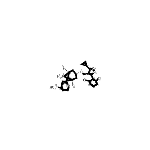 C[C@H]1C[C@@H]2C[C@@H](OCc3c(-c4c(Cl)cccc4Cl)noc3C3CC3)C[C@H]1[C@]2(O)c1cc(C(=O)O)ccn1